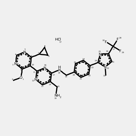 COc1ncnc(C2CC2)c1-c1ncc(CN)c(NCc2ccc(-c3nc(C(F)(F)F)cn3C)cc2)n1.Cl